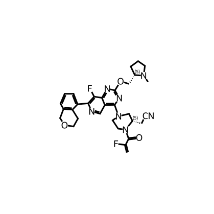 C=C(F)C(=O)N1CCN(c2nc(OC[C@@H]3CCCN3C)nc3c(F)c(-c4cccc5c4CCOC5)ncc23)C[C@@H]1CC#N